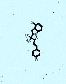 Cc1ccc(C=CC2SN3c4cccc(Cl)c4CC3C2(C)C)cc1